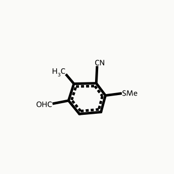 CSc1ccc(C=O)c(C)c1C#N